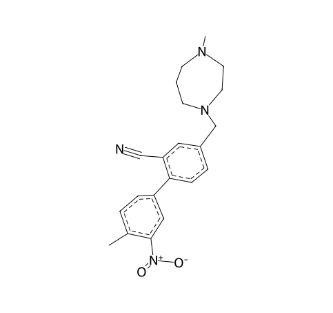 Cc1ccc(-c2ccc(CN3CCCN(C)CC3)cc2C#N)cc1[N+](=O)[O-]